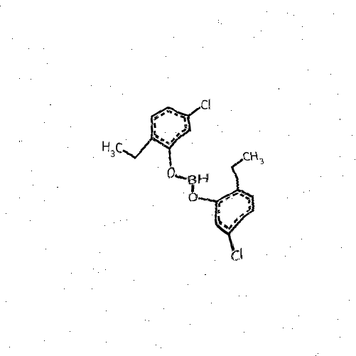 CCc1ccc(Cl)cc1OBOc1cc(Cl)ccc1CC